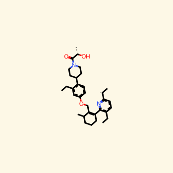 C[CH]c1ccc(CC)c(C2=C(COc3ccc(C4CCN(C(=O)[C@H](C)O)CC4)c(CC)c3)C(C)CCC2)n1